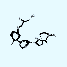 CN1CC[C@@]2(CC[C@H](c3cc(-c4cc(OCC(F)F)ccc4F)ccn3)N2)C1=O.Cl